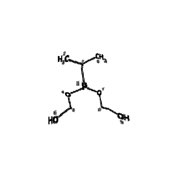 CC(C)P(OCO)OCO